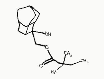 CCC(C)(C)C(=O)OCC1(O)C2CC3CC(C2)CC1C3